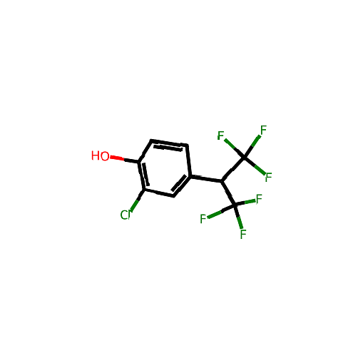 Oc1ccc([C](C(F)(F)F)C(F)(F)F)cc1Cl